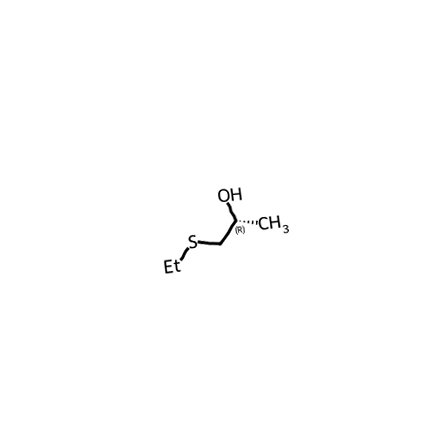 CCSC[C@@H](C)O